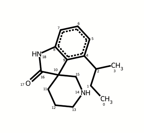 CCC(C)c1cccc2c1C1(CCCNC1)C(=O)N2